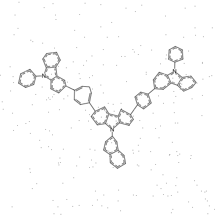 C1=CC(c2ccc3c(c2)c2cc(-c4ccc(-c5ccc6c(c5)c5ccccc5n6-c5ccccc5)cc4)ccc2n3-c2ccc3ccccc3c2)=CCC=C1c1ccc2c(c1)c1ccccc1n2-c1ccccc1